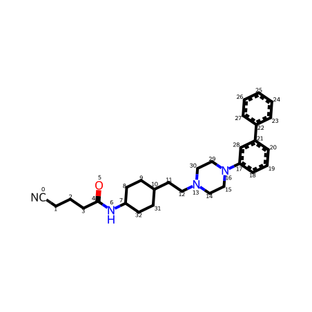 N#CCCCC(=O)NC1CCC(CCN2CCN(c3cccc(-c4ccccc4)c3)CC2)CC1